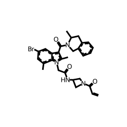 C=CC(=O)N1CC(NC(=O)Cn2c(C)c(C(=O)N3Cc4ccccc4CC3C)c3cc(Br)cc(C)c32)C1